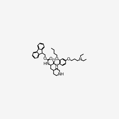 CCCCOc1cc(OCCCN(CC)CC)ccc1NC(=O)C(CC1CCNCC1)NC(=O)OCC1c2ccccc2-c2ccccc21